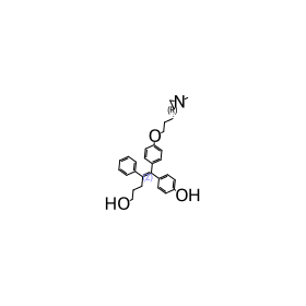 CN1C[C@H]1CCCOc1ccc(/C(=C(/CCCO)c2ccccc2)c2ccc(O)cc2)cc1